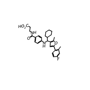 Cc1cc(F)ccc1-c1cc(C(Nc2ccc(C(=O)NCCC(=O)O)cc2)C2CCCCC2)c(C)o1